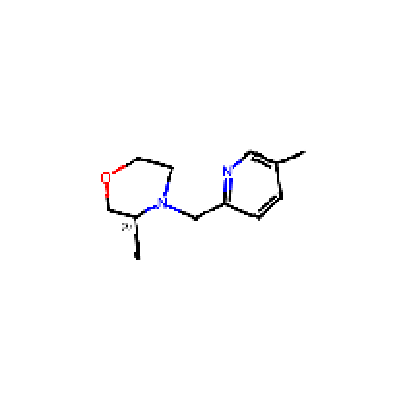 Cc1ccc(CN2CCOC[C@@H]2C)nc1